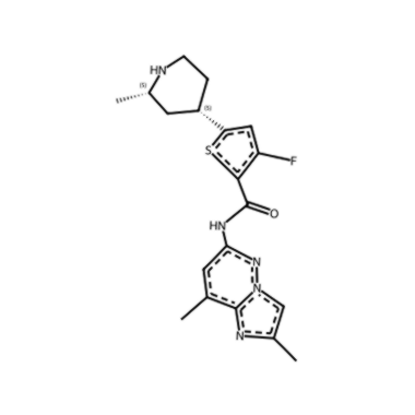 Cc1cn2nc(NC(=O)c3sc([C@H]4CCN[C@@H](C)C4)cc3F)cc(C)c2n1